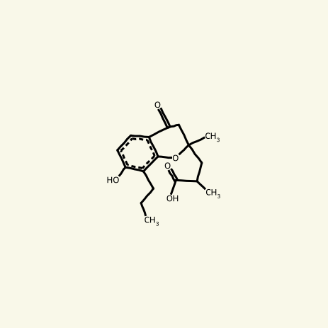 CCCc1c(O)ccc2c1OC(C)(CC(C)C(=O)O)CC2=O